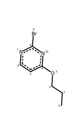 CCCOc1ccnc(Br)n1